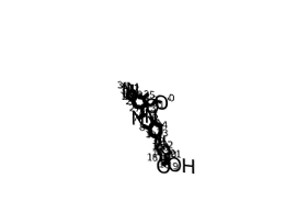 COCOc1c(-c2ncc3cc(N4C[C@@H](C)N(C(=O)O)[C@@H](C)C4)ccc3n2)cc2cn(C)nc2c1C